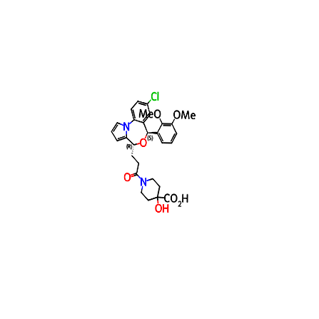 COc1cccc([C@H]2O[C@H](CCC(=O)N3CCC(O)(C(=O)O)CC3)c3cccn3-c3ccc(Cl)cc32)c1OC